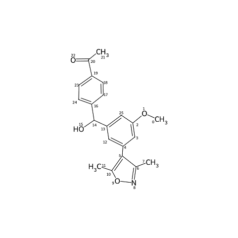 COc1cc(-c2c(C)noc2C)cc(C(O)c2ccc(C(C)=O)cc2)c1